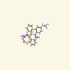 CN(C)Cc1ccc(C2Nc3cccc4c3/C(=N\NCOC4)C2c2ccccc2)cc1